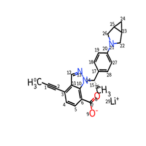 CC#Cc1ccc(C(=O)[O-])c2c1cnn2[C@@H](C)c1ccc(N2CC3CC3C2)cc1.[Li+]